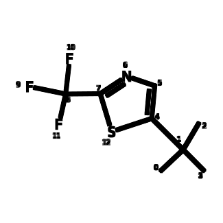 CC(C)(C)c1cnc(C(F)(F)F)s1